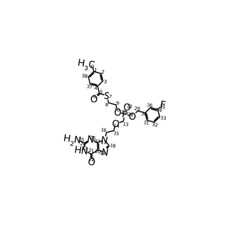 Cc1ccc(C(=O)SCCOP(=O)(COCCn2cnc3c(=O)[nH]c(N)nc32)OCc2cccc(F)c2)cc1